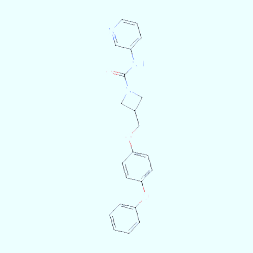 O=C(Nc1cccnc1)N1CC(COc2ccc(Oc3ccccc3)cc2)C1